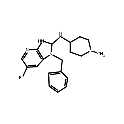 CN1CCC(NC2Nc3ncc(Br)cc3N2Cc2ccccc2)CC1